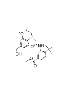 CCCC(CC(=O)Nc1cc(C(=O)OC)ccc1C(C)(C)C)c1ccc(CO)cc1OC